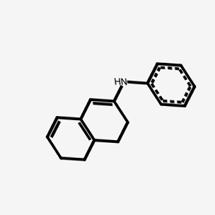 C1=CC2=C(CC1)CCC(Nc1ccccc1)=C2